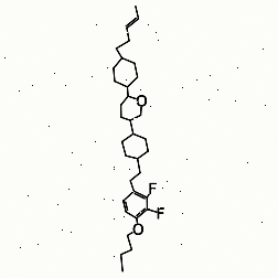 C/C=C/CCC1CCC(C2CCC(C3CCC(CCc4ccc(OCCCC)c(F)c4F)CC3)CO2)CC1